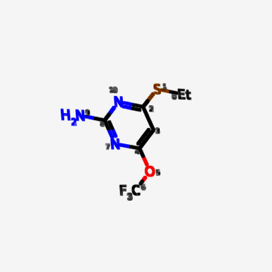 CCSc1cc(OC(F)(F)F)nc(N)n1